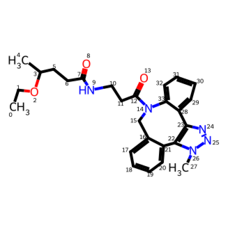 CCOC(C)CCC(=O)NCCC(=O)N1Cc2ccccc2-c2c(nnn2C)-c2ccccc21